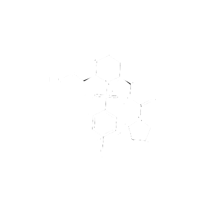 COC[C@H]1CCC[C@@H](COC(=O)N2CCCC2)N1S(=O)(=O)c1ccc(Cl)cc1